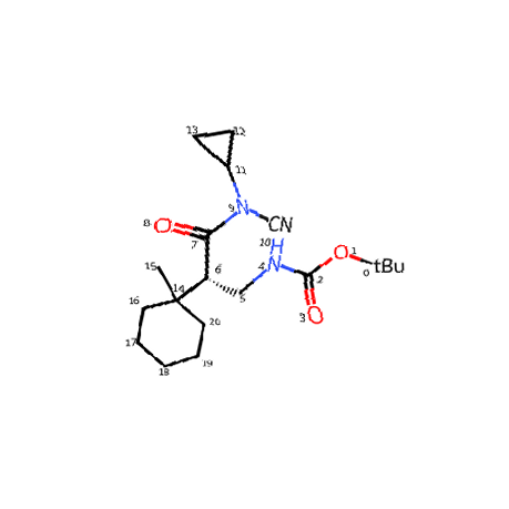 CC(C)(C)OC(=O)NC[C@@H](C(=O)N(C#N)C1CC1)C1(C)CCCCC1